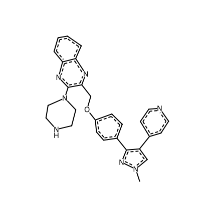 Cn1cc(-c2ccncc2)c(-c2ccc(OCc3nc4ccccc4nc3N3CCNCC3)cc2)n1